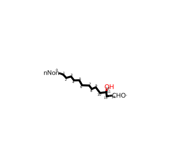 CCCCCCCCCCCCCCCCCCCC(O)C[C]=O